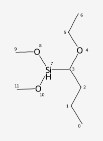 CCCC(OCC)[SiH](OC)OC